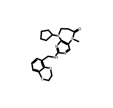 CN1C(=O)CCN(C2CCCC2)c2nc(NCc3cccc4c3OCCO4)ncc21